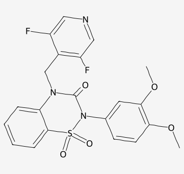 COc1ccc(N2C(=O)N(Cc3c(F)cncc3F)c3ccccc3S2(=O)=O)cc1OC